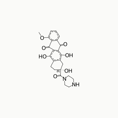 COc1cccc2c1C(=O)c1c(O)c3c(c(O)c1C2=O)C[C@@](O)(C(=O)N1CCNCC1)CC3